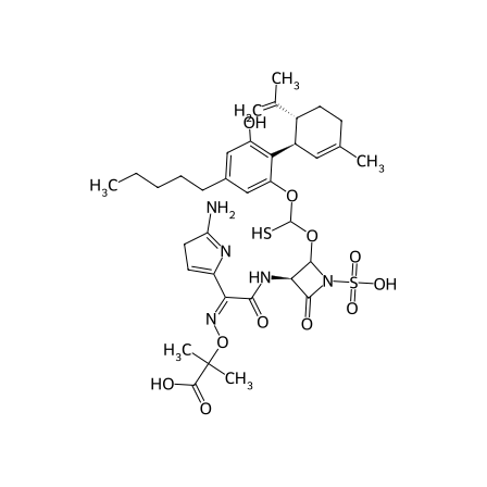 C=C(C)[C@@H]1CCC(C)=C[C@H]1c1c(O)cc(CCCCC)cc1OC(S)OC1[C@H](NC(=O)/C(=N\OC(C)(C)C(=O)O)C2=CCC(N)=N2)C(=O)N1S(=O)(=O)O